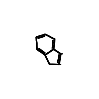 [C]1=[C]c2ccccc2C1